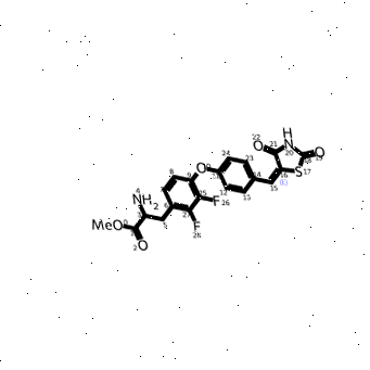 COC(=O)C(N)Cc1ccc(Oc2ccc(/C=C3/SC(=O)NC3=O)cc2)c(F)c1F